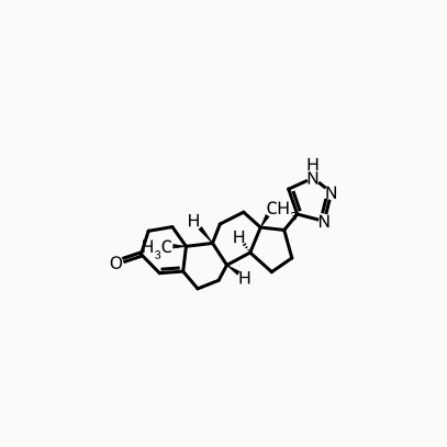 C[C@]12CCC(=O)C=C1CC[C@@H]1[C@H]2CC[C@]2(C)C(c3c[nH]nn3)CC[C@@H]12